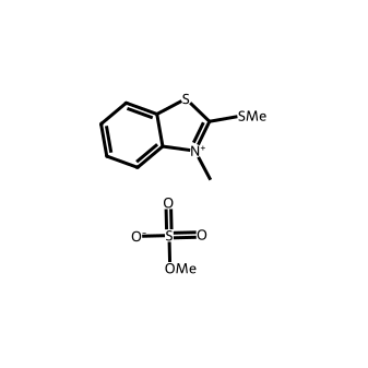 COS(=O)(=O)[O-].CSc1sc2ccccc2[n+]1C